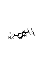 CC(C)c1cn2nc(C(C)C)nc2cn1